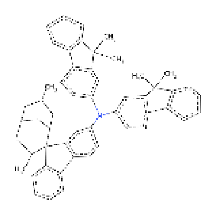 CC1CC2CC(C)C3(c4ccccc4-c4ccc(N(c5ccc6c(c5)C(C)(C)c5ccccc5-6)c5ccc6c(c5)C(C)(C)c5ccccc5-6)cc43)C(C1)C2